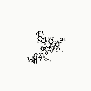 C=C[C@@H]1C[C@]1(NC(=O)[C@@H]1C[C@@H](Oc2cc(-c3ccccc3)nc3cc(OC)ccc23)CN1C(=O)C(OC(=O)Nc1ccc(OC)cc1C)C(C)(C)C)C(=O)NS(=O)(=O)C1CC1